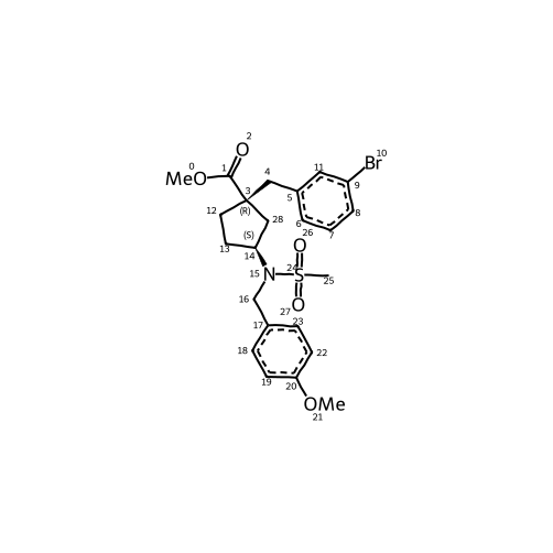 COC(=O)[C@@]1(Cc2cccc(Br)c2)CC[C@H](N(Cc2ccc(OC)cc2)S(C)(=O)=O)C1